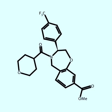 COC(=O)c1ccc2c(c1)OC[C@H](c1ccc(C(F)(F)F)cc1)N(C(=O)C1CCOCC1)C2